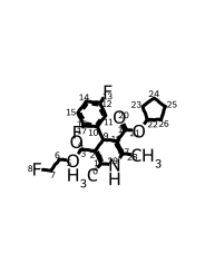 CC1=C(C(=O)OCCF)C(c2cc(F)ccc2F)C(C(=O)OC2CCCC2)=C(C)N1